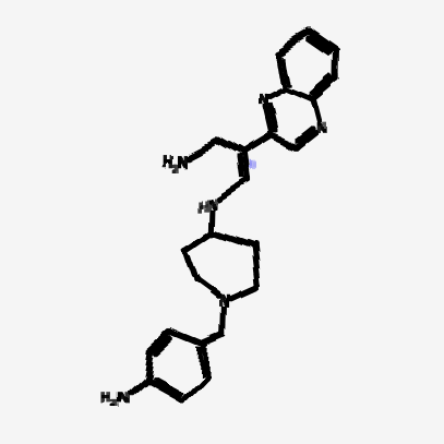 NC/C(=C\NC1CCN(Cc2ccc(N)cc2)CC1)c1cnc2ccccc2n1